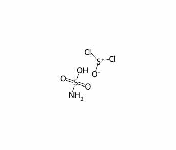 NS(=O)(=O)O.[O-][S+](Cl)Cl